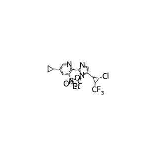 CCS(=O)(=O)c1cc(C2CC2)cnc1-c1ncc(C2C(Cl)C2C(F)(F)F)n1C